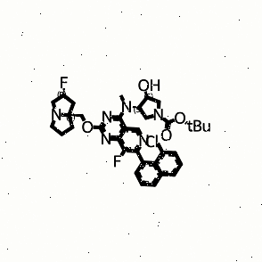 CN(c1nc(OC[C@@]23CCCN2C[C@H](F)C3)nc2c(F)c(-c3cccc4cccc(Cl)c34)ncc12)[C@H]1CN(C(=O)OC(C)(C)C)C[C@@H]1O